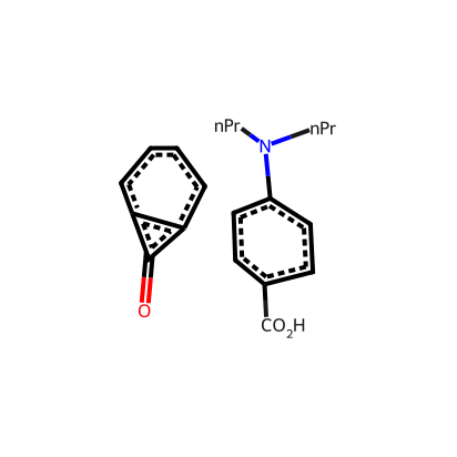 CCCN(CCC)c1ccc(C(=O)O)cc1.O=c1c2ccccc12